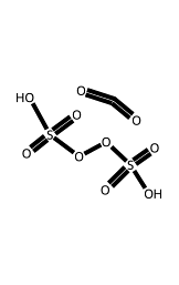 O=C=O.O=S(=O)(O)OOS(=O)(=O)O